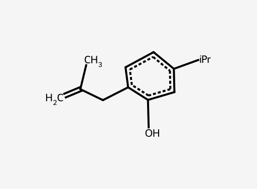 C=C(C)Cc1ccc(C(C)C)cc1O